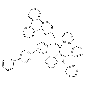 c1ccc(-c2ccc(-c3ccc(-c4c(-c5c(-c6ccccc6)n(-c6ccccc6)c6ccccc56)c5ccccc5n4-c4ccc5c6ccccc6c6ccccc6c5c4)cc3)cc2)cc1